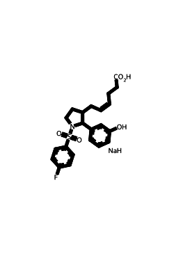 O=C(O)CC/C=C\CC1CCN(S(=O)(=O)c2ccc(F)cc2)C1c1cccc(O)c1.[NaH]